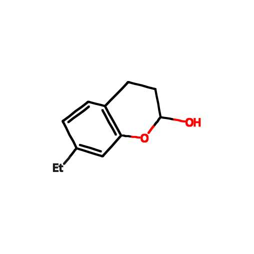 CCc1ccc2c(c1)OC(O)CC2